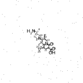 Cc1c(N2CC[C@H]([C@@H](C)N)C2)c(F)cn2c(=O)c(C(=O)O)cc(C3CC3)c12